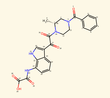 C[C@@H]1CN(C(=O)c2ccccc2)CCN1C(=O)C(=O)c1c[nH]c2c(NC(=O)C(=O)O)cccc12